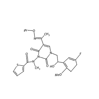 COC1=C(C(O)Cn2cc(/C(C)=N/OC(C)C)c(=O)n(N(C)C(=O)c3cccs3)c2=O)C=C(F)CC1